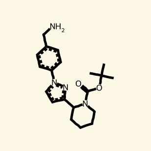 CC(C)(C)OC(=O)N1CCCCC1c1ccn(-c2ccc(CN)cc2)n1